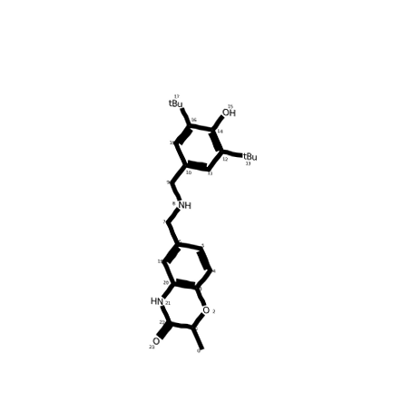 CC1Oc2ccc(CNCc3cc(C(C)(C)C)c(O)c(C(C)(C)C)c3)cc2NC1=O